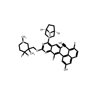 C#Cc1c(F)ccc2cc(O)cc(-c3c(F)cc4c(N5C[C@H]6CC[C@@H](C5)N6)nc(OCC5(C)CN(C)CCC5(F)F)nc4c3F)c12